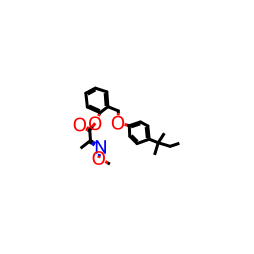 CCC(C)(C)c1ccc(OCc2ccccc2OC(=O)C(C)=NOC)cc1